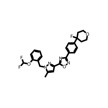 Cc1cc(-c2nc(-c3ccc(C4(F)CCOCC4)cc3)no2)nn1Cc1ccccc1OC(F)F